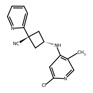 Cc1cnc(Cl)cc1N[C@H]1C[C@@](C#N)(c2ccccn2)C1